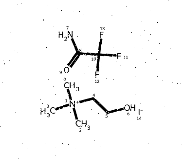 C[N+](C)(C)CCO.NC(=O)C(F)(F)F.[I-]